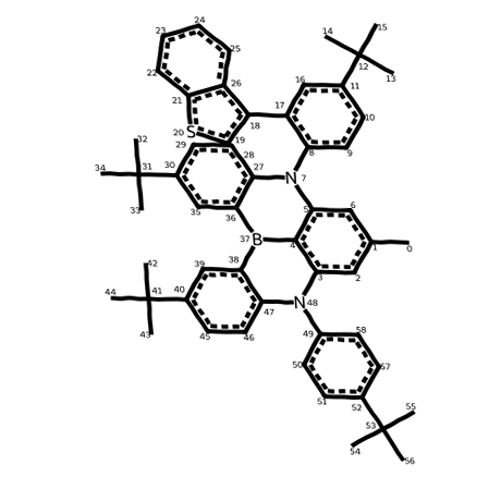 Cc1cc2c3c(c1)N(c1ccc(C(C)(C)C)cc1-c1csc4ccccc14)c1ccc(C(C)(C)C)cc1B3c1cc(C(C)(C)C)ccc1N2c1ccc(C(C)(C)C)cc1